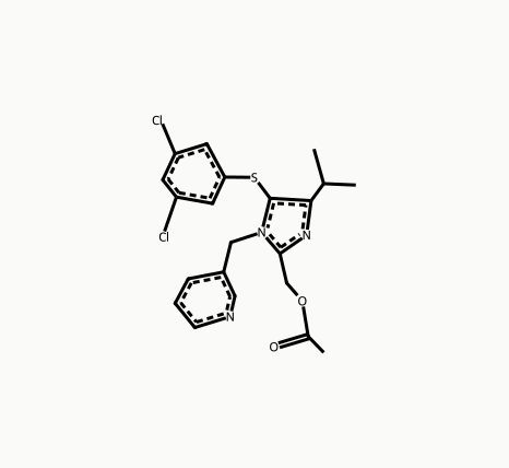 CC(=O)OCc1nc(C(C)C)c(Sc2cc(Cl)cc(Cl)c2)n1Cc1cccnc1